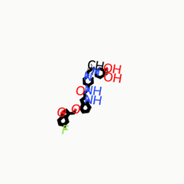 C[C@@H](CN1CCC(NC(=O)c2cc3c(OCc4coc5ccc(F)cc45)cccc3[nH]2)CC1)N1CCC(O)C(O)C1